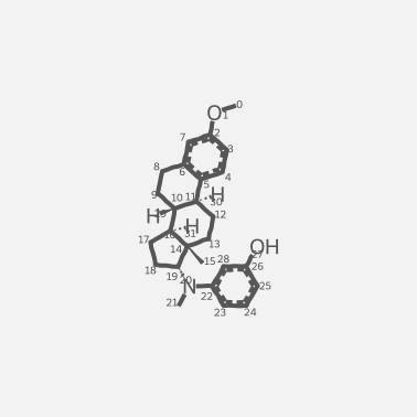 COc1ccc2c(c1)CC[C@@H]1[C@@H]2CC[C@@]2(C)[C@H]1CC[C@H]2N(C)c1cccc(O)c1